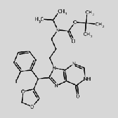 CC(C)N(CCCn1c(C(C2=COCO2)c2ccccc2I)nc2c(=O)[nH]cnc21)C(=O)OC(C)(C)C